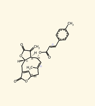 C=C1C(=O)O[C@H]2CC3=C[C@@H](C/C(C)=C/[C@@H](OC(=O)/C=C/c4ccc(C)cc4)[C@H]12)OC3=O